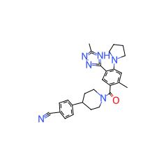 Cc1nnc(-c2cc(C(=O)N3CCC(c4ccc(C#N)cc4)CC3)c(C)cc2N2CCCC2)[nH]1